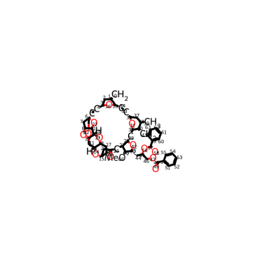 C=C1CC2CCC34CC5OC6C(O3)[C@H]3OC(CCC3O[C@H]6C5O4)CC(=O)CC3C(CC4OC(CCC1O2)CC(C)C4=C)O[C@H](CC(COC(=O)c1ccccc1)OC(=O)c1ccccc1)[C@@H]3OC